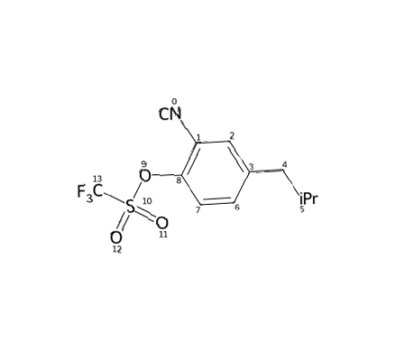 [C-]#[N+]c1cc(CC(C)C)ccc1OS(=O)(=O)C(F)(F)F